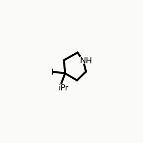 CC(C)C1(I)CCNCC1